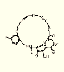 CN1CN2C(=O)CCCCCC/C=C\CCOc3cc(F)ccc3CNC(=O)c3cn2c(c(O)c3=O)C1=O